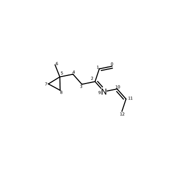 C=C/C(CCC1(C)CC1)=N\C=C/C